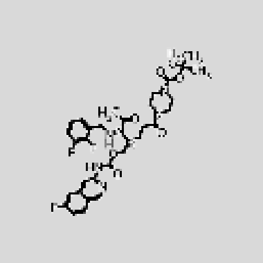 CC(=O)N(NCc1cccc(F)c1F)[C@@H](CCC(=O)N1CCN(C(=O)OC(C)(C)C)CC1)COC(=O)Nc1cc2cc(F)ccc2cn1